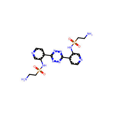 NCCS(=O)(=O)Nc1cnccc1-c1nnc(-c2ccncc2NS(=O)(=O)CCN)nn1